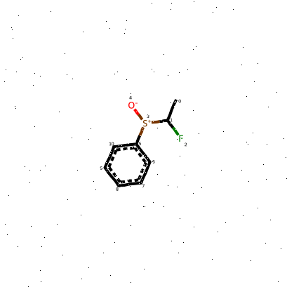 CC(F)[S+]([O-])c1ccccc1